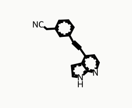 N#CCc1cccc(C#Cc2ccnc3[nH]ccc23)c1